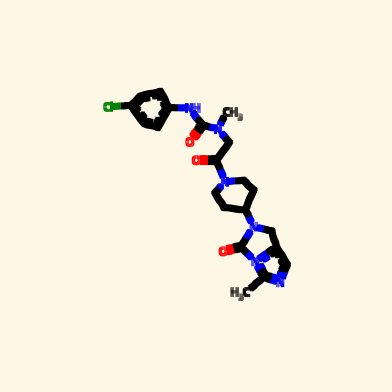 Cc1ncc2n1C(=O)N(C1CCN(C(=O)CN(C)C(=O)Nc3ccc(Cl)cc3)CC1)C2